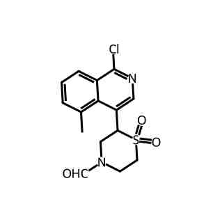 Cc1cccc2c(Cl)ncc(C3CN(C=O)CCS3(=O)=O)c12